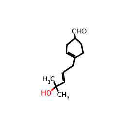 CC(C)(O)C=CCC1=CCC(C=O)CC1